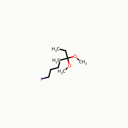 CCC(OC)(OC)[SiH2]CCCI